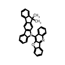 CC1(C)c2ccccc2-c2cc3c4ccccc4n(-c4c5ccccc5nc5c4oc4ccccc45)c3cc21